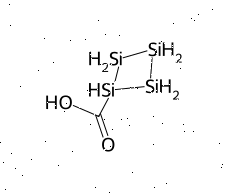 O=C(O)[SiH]1[SiH2][SiH2][SiH2]1